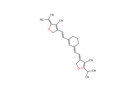 N#CC(C#N)=C1OCC(/C=C/C2=CC(=C/C=C3\COC(C(C#N)C#N)=C3C#N)/CCC2)=C1C#N